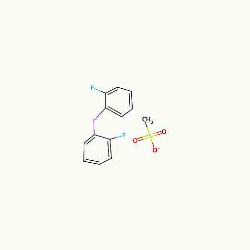 CS(=O)(=O)[O-].Fc1ccccc1[I+]c1ccccc1F